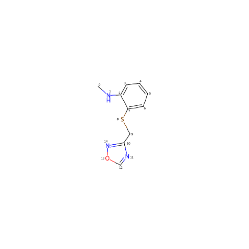 CNc1ccccc1SCc1ncon1